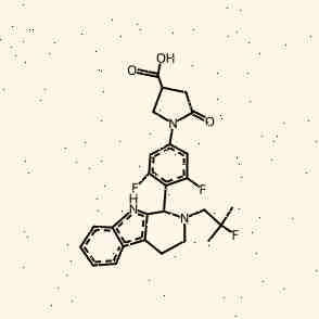 CC(C)(F)CN1CCc2c([nH]c3ccccc23)C1c1c(F)cc(N2CC(C(=O)O)CC2=O)cc1F